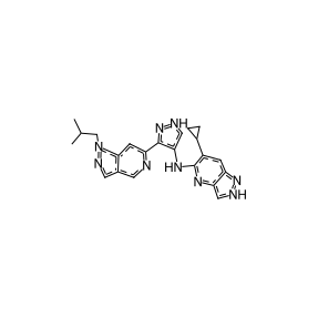 CC(C)Cn1ncc2cnc(-c3n[nH]cc3Nc3nc4c[nH]nc4cc3C3CC3)cc21